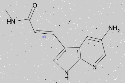 CNC(=O)/C=C/c1c[nH]c2ncc(N)cc12